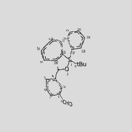 CC(C)(C)[Si](OCc1cccc(C=O)c1)(c1ccccc1)c1ccccc1